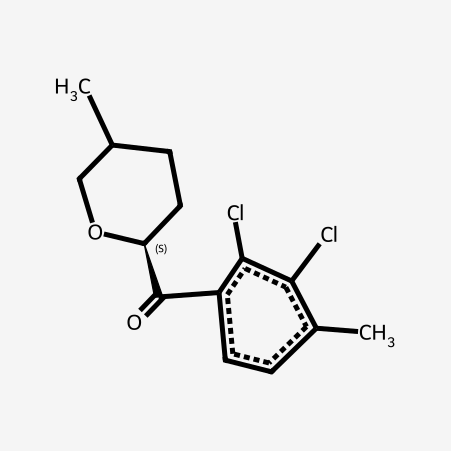 Cc1ccc(C(=O)[C@@H]2CCC(C)CO2)c(Cl)c1Cl